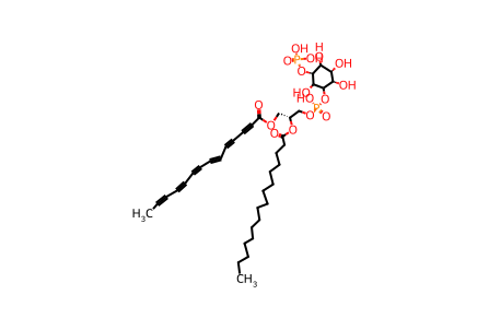 CC#CC#CC#CC#CC#CC#CC(=O)OC[C@H](COP(=O)(O)OC1C(O)[C@@H](OP(=O)(O)O)C(O)[C@@H](O)[C@H]1O)OC(=O)CCCCCCCCCCCCCCC